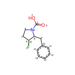 O=C(O)N1CC[C@H](F)C1Cc1ccccc1